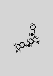 O=C(NCC1CCOCC1)c1cnc(Nc2ccc(Br)c(C(F)(F)F)c2)cc1C1CC1